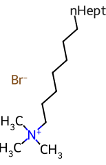 CCCCCCCCCCCCCC[N+](C)(C)C.[Br-]